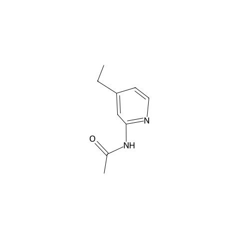 CCc1ccnc(NC(C)=O)c1